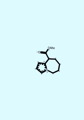 COC(=O)C1CCCCn2cccc21